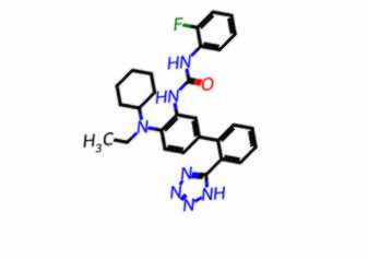 CCN(c1ccc(-c2ccccc2-c2nnn[nH]2)cc1NC(=O)Nc1ccccc1F)C1CCCCC1